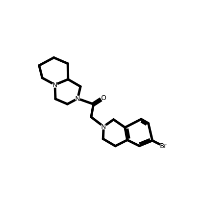 O=C(CN1CCc2cc(Br)ccc2C1)N1CCN2CCCCC2C1